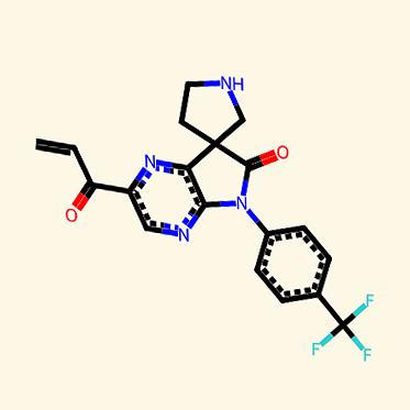 C=CC(=O)c1cnc2c(n1)C1(CCNC1)C(=O)N2c1ccc(C(F)(F)F)cc1